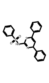 O=S(=O)(NC1=NC(c2ccccc2)C=C(c2ccccc2)S1)c1ccccc1